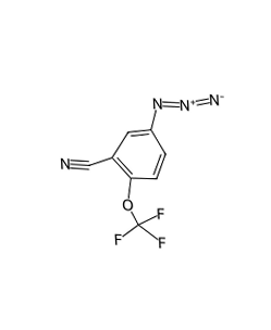 N#Cc1cc(N=[N+]=[N-])ccc1OC(F)(F)F